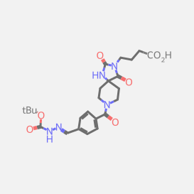 CC(C)(C)OC(=O)NN=Cc1ccc(C(=O)N2CCC3(CC2)NC(=O)N(CCCC(=O)O)C3=O)cc1